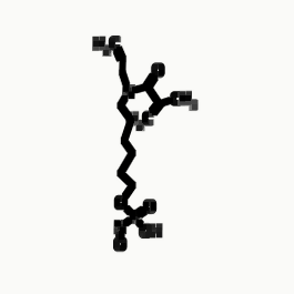 C=CCN(CCCCCCOP(=O)(O)N=O)C(=O)C(=C)C